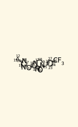 O=C1[C@H]2C[C@@H](Oc3cnc(C4CC4)cn3)CN2CCCN1Cc1ccc(C(F)(F)F)cc1